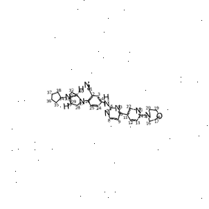 N#Cc1cc(Nc2nccc(-c3ccc(N4CCOCC4)nc3)n2)ccc1N1C[C@@H]2C[C@H]1CN2C1CCCC1